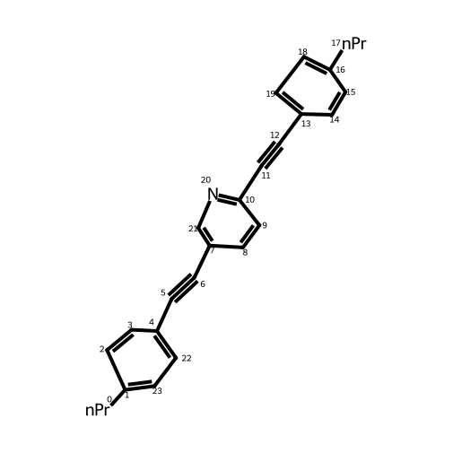 CCCc1ccc(C#Cc2ccc(C#Cc3ccc(CCC)cc3)nc2)cc1